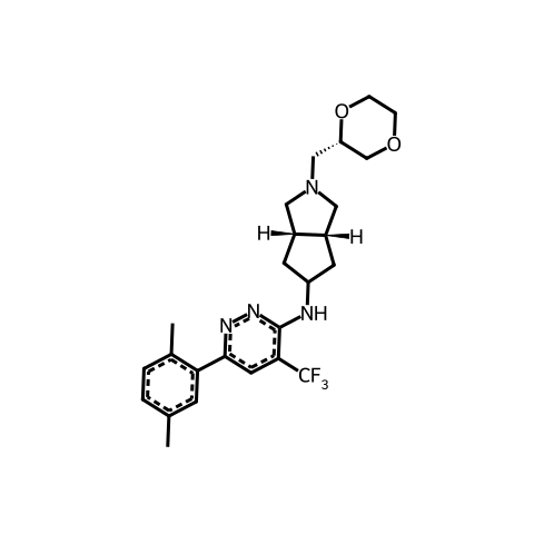 Cc1ccc(C)c(-c2cc(C(F)(F)F)c(NC3C[C@@H]4CN(C[C@H]5COCCO5)C[C@@H]4C3)nn2)c1